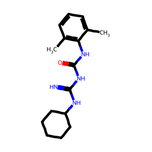 Cc1cccc(C)c1NC(=O)NC(=N)NC1CCCCC1